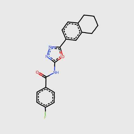 O=C(Nc1nnc(-c2ccc3c(c2)CCCC3)o1)c1ccc(F)cc1